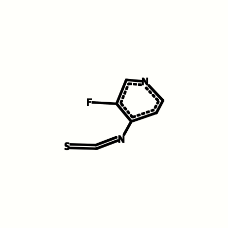 Fc1cnccc1N=C=S